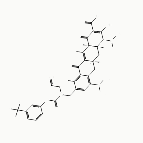 C=CCN(Cc1cc(N(C)C)c2c(c1O)C(=O)C1=C(O)[C@]3(O)C(=O)C(C(N)=O)=C(O)[C@@H](N(C)C)[C@@H]3C[C@@H]1C2)C(=O)Oc1cccc(C(F)(F)F)c1